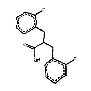 O=C(O)C(Cc1ccccc1F)Cc1ccccc1F